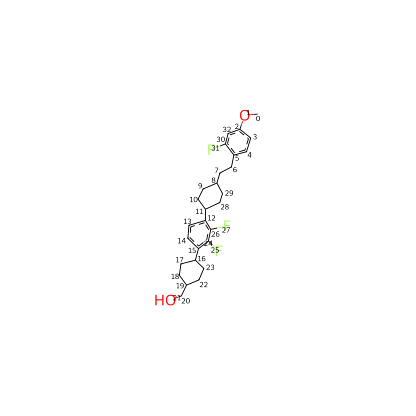 COc1ccc(CCC2CCC(c3ccc(C4CCC(CO)CC4)c(F)c3F)CC2)c(F)c1